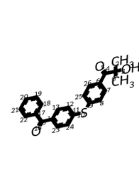 CC(C)(O)C(=O)c1ccc(Sc2ccc(C(=O)c3ccccc3)cc2)cc1